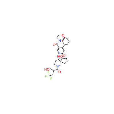 O=C(c1cn(C[C@]2(O)CCN(C(=O)[C@H](CO)CC(F)(F)F)CC23CCCC3)c(=O)cc1-c1ccccc1)N1CCOCC1